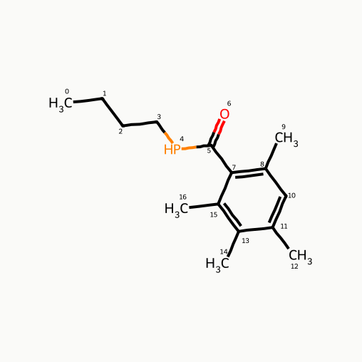 CCCCPC(=O)c1c(C)cc(C)c(C)c1C